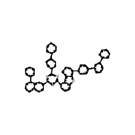 c1ccc(-c2ccc(-c3nc(-c4ccc5cccc(-c6ccccc6)c5c4)nc(-c4cccc5oc6c(-c7ccc(-c8cccc(-c9ccccc9)c8)cc7)cccc6c45)n3)cc2)cc1